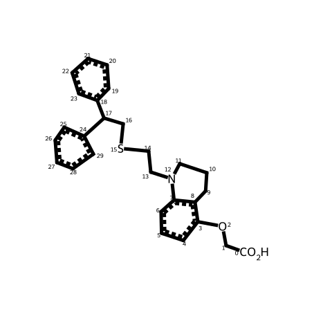 O=C(O)COc1cccc2c1CCCN2CCSCC(c1ccccc1)c1ccccc1